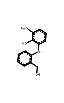 COc1cccc(Pc2ccccc2CO)c1O